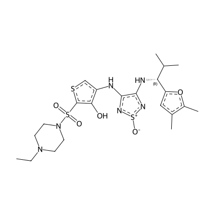 CCN1CCN(S(=O)(=O)c2scc(Nc3n[s+]([O-])nc3N[C@@H](c3cc(C)c(C)o3)C(C)C)c2O)CC1